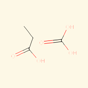 CCC(=O)O.O=C(O)O